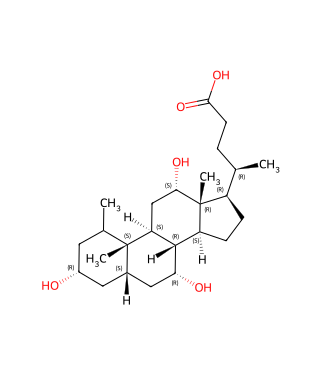 CC1C[C@@H](O)C[C@H]2C[C@@H](O)[C@@H]3[C@H](C[C@H](O)[C@]4(C)[C@@H]([C@H](C)CCC(=O)O)CC[C@@H]34)[C@@]12C